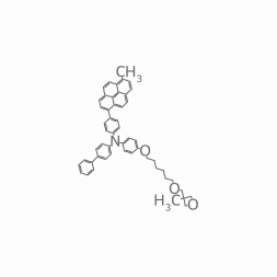 Cc1ccc2ccc3c(-c4ccc(N(c5ccc(OCCCCCCOCC6(C)COC6)cc5)c5ccc(-c6ccccc6)cc5)cc4)ccc4ccc1c2c43